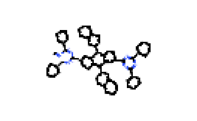 C=N/C(=N\C(=N/Cc1ccccc1)c1ccc2c(-c3ccc4ccccc4c3)c3cc(-c4nc(-c5ccccc5)nc(-c5ccccc5)n4)ccc3c(-c3ccc4ccccc4c3)c2c1)c1ccccc1